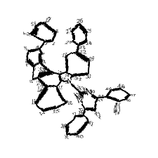 c1ccc(-c2ccc3c(c2)-c2c(c4ccccc4c4c2c2cc(-c5ccccc5)ccc2n4-c2nc(-c4ccccc4)cc(-c4ccccc4)n2)C3)cc1